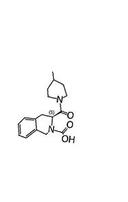 CC1CCN(C(=O)[C@@H]2Cc3ccccc3CN2C(=O)O)CC1